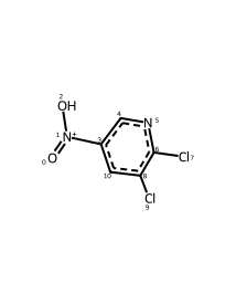 O=[N+](O)c1cnc(Cl)c(Cl)c1